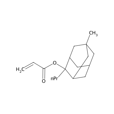 C=CC(=O)OC1(CCC)C2CC3CC1CC(C)(C3)C2